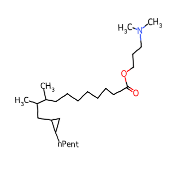 CCCCCC1CC1CC(C)C(C)CCCCCCCC(=O)OCCCN(C)C